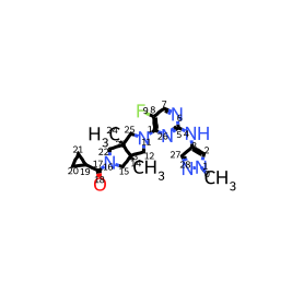 Cn1cc(Nc2ncc(F)c(N3C[C@]4(C)CN(C(=O)C5CC5)C[C@]4(C)C3)n2)cn1